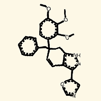 COc1ccc(C2(c3ccccc3)C=Cc3c(-c4cnco4)n[nH]c3C2)c(OC)c1OC